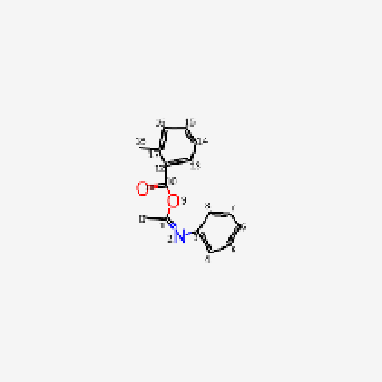 CC(=Nc1ccccc1)OC(=O)c1ccccc1C